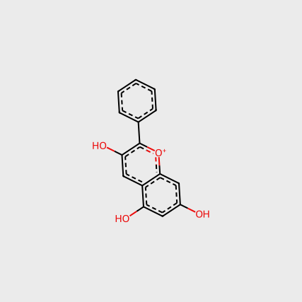 Oc1cc(O)c2cc(O)c(-c3ccccc3)[o+]c2c1